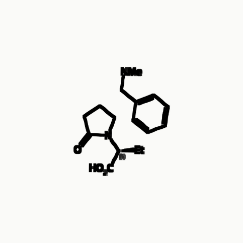 CC[C@@H](C(=O)O)N1CCCC1=O.CNCc1ccccc1